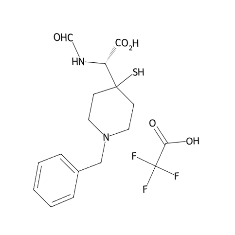 O=C(O)C(F)(F)F.O=CN[C@H](C(=O)O)C1(S)CCN(Cc2ccccc2)CC1